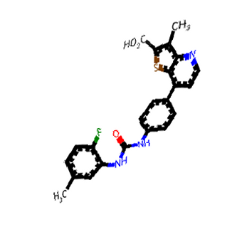 Cc1ccc(F)c(NC(=O)Nc2ccc(-c3ccnc4c(C)c(C(=O)O)sc34)cc2)c1